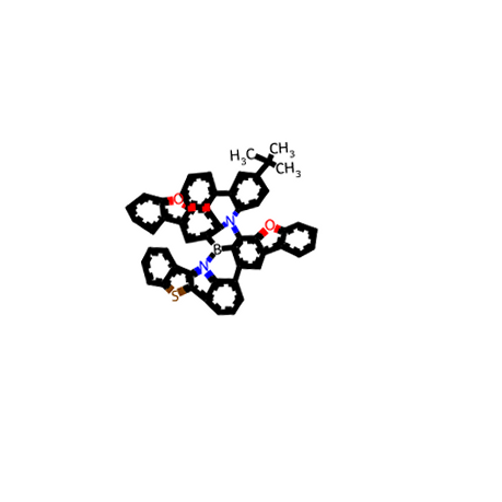 CC(C)(C)c1ccc(N2c3cc4oc5ccccc5c4cc3B3c4c(cc5c(oc6ccccc65)c42)-c2cccc4c5sc6ccccc6c5n3c24)c(-c2ccccc2)c1